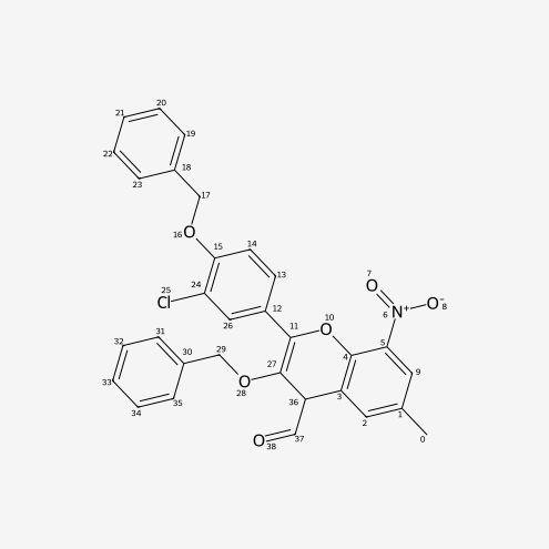 Cc1cc2c(c([N+](=O)[O-])c1)OC(c1ccc(OCc3ccccc3)c(Cl)c1)=C(OCc1ccccc1)C2C=O